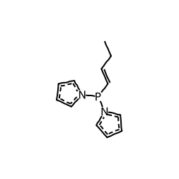 CCC=CP(n1cccc1)n1cccc1